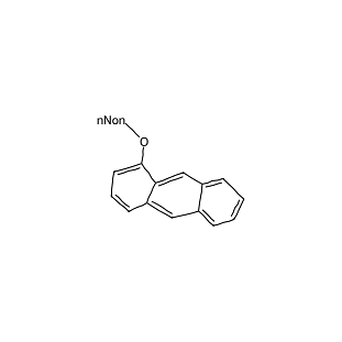 CCCCCCCCCOc1cccc2cc3ccccc3cc12